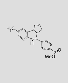 COC(=O)c1ccc(C2Nc3ccc(C)cc3C3C=CCC32)cc1